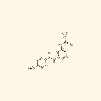 COc1ccc(C(=O)Nc2cccc(NC(=O)C3CC3)c2)cc1